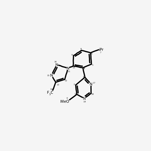 COc1cc(-c2cc(C(C)C)ccc2-n2cc(C(F)(F)F)nn2)ncn1